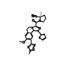 COc1cc2c(cc1-c1nnn(C)n1)-c1c(-c3cccs3)nc(C(=O)N3CCC[C@]3(C)C#N)n1CC2